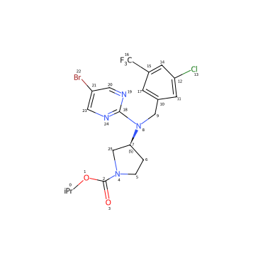 CC(C)OC(=O)N1CC[C@H](N(Cc2cc(Cl)cc(C(F)(F)F)c2)c2ncc(Br)cn2)C1